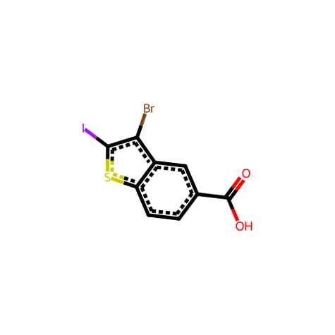 O=C(O)c1ccc2sc(I)c(Br)c2c1